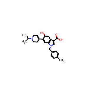 Cc1ccc(Cn2cc(C(=O)O)c3cc(O)c(C4=CCN(C(C)C)CC4)cc32)cc1